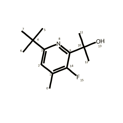 Cc1cc(C(C)(C)C)nc(C(C)(C)O)c1F